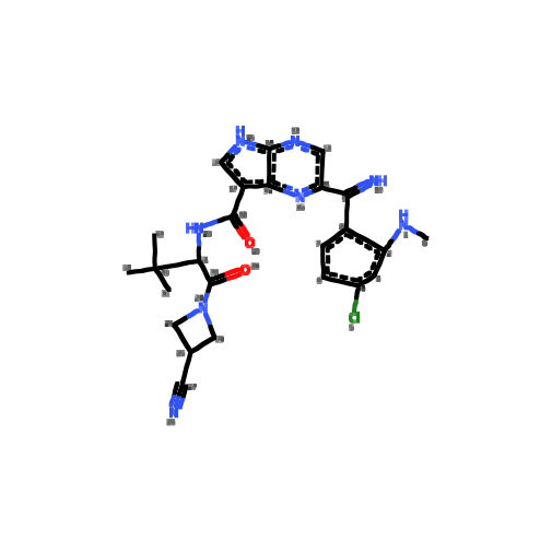 CNc1cc(Cl)ccc1C(=N)c1cnc2[nH]cc(C(=O)NC(C(=O)N3CC(C#N)C3)C(C)(C)C)c2n1